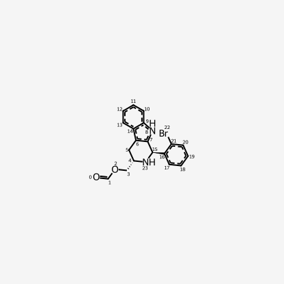 O=COC[C@@H]1Cc2c([nH]c3ccccc23)[C@@H](c2ccccc2Br)N1